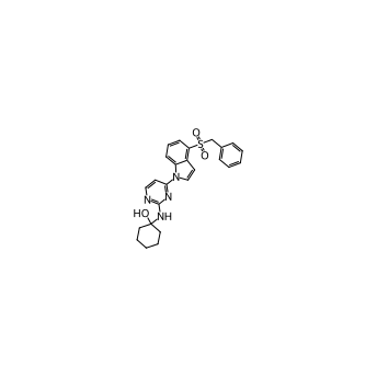 O=S(=O)(Cc1ccccc1)c1cccc2c1ccn2-c1ccnc(NC2(O)CCCCC2)n1